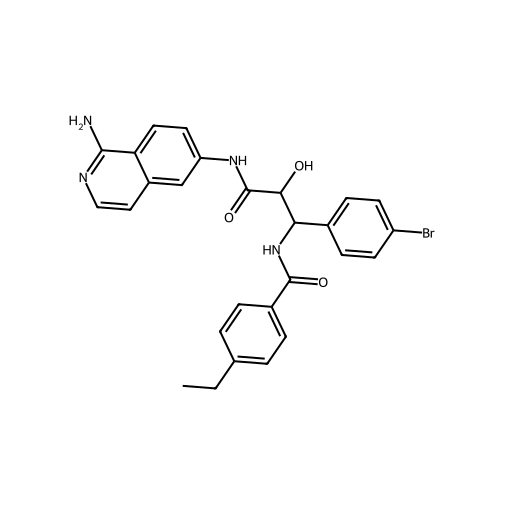 CCc1ccc(C(=O)NC(c2ccc(Br)cc2)C(O)C(=O)Nc2ccc3c(N)nccc3c2)cc1